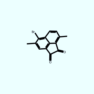 Cc1cc2c3c(c(C)ccc3c1Br)C(=O)C2=O